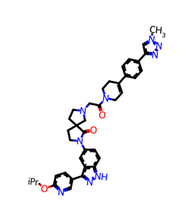 CC(C)Oc1ccc(-c2n[nH]c3ccc(N4CCC5(CCN(CC(=O)N6CC=C(c7ccc(-c8cn(C)nn8)cc7)CC6)C5)C4=O)cc23)cn1